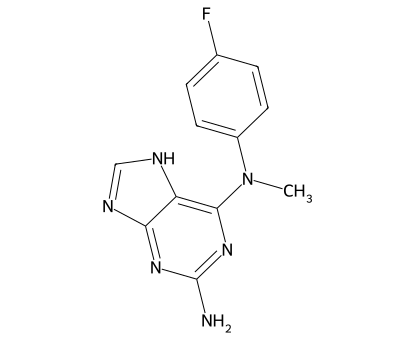 CN(c1ccc(F)cc1)c1nc(N)nc2nc[nH]c12